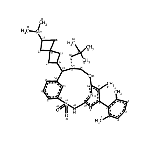 Cc1cccc(C)c1-c1nc2nc(c1C)OC[C@@H](CC(C)(C)C)C(C1CC3(C1)CC(N(C)C)C3)c1cccc(c1)S(=O)(=O)N2